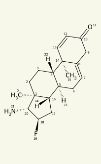 C[C@]12CC[C@H]3[C@@H](CC=C4CC(=O)C=C[C@@]43C)[C@@H]1C[C@@H](F)[C@@H]2N